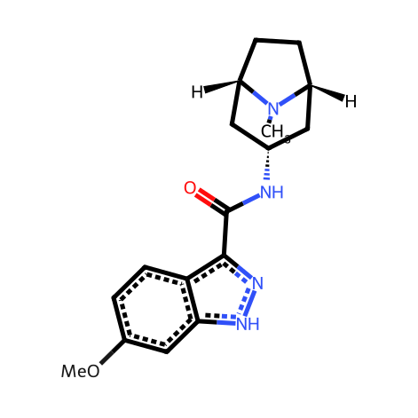 COc1ccc2c(C(=O)N[C@H]3C[C@H]4CC[C@@H](C3)N4C)n[nH]c2c1